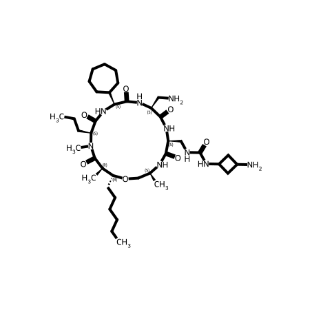 CCCCCC[C@H]1OC[C@H](C)NC(=O)[C@H](CNC(=O)NC2CC(N)C2)NC(=O)[C@H](CN)NC(=O)[C@H](C2CCCCCC2)NC(=O)[C@H](CCC)N(C)C(=O)[C@@H]1C